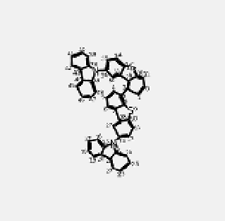 c1cc(-c2cccc3c2sc2ccc(-n4c5ccccc5c5ccccc54)cc23)c2c(c1)sc1ccc(-n3c4ccccc4c4ccccc43)cc12